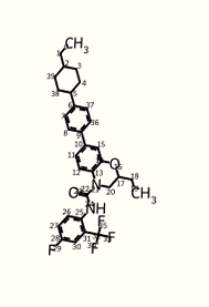 CCC1CCC(c2ccc(-c3ccc4c(c3)OC(CC)CN4C(=O)Nc3ccc(F)cc3C(F)(F)F)cc2)CC1